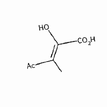 CC(=O)C(C)=C(O)C(=O)O